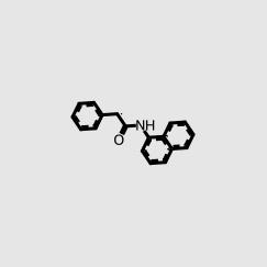 O=C([CH]c1ccccc1)Nc1cccc2ccccc12